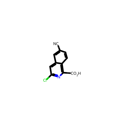 N#Cc1ccc2c(C(=O)O)nc(Cl)cc2c1